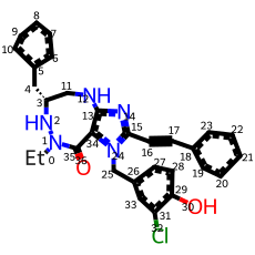 CCN1N[C@H](Cc2ccccc2)CNc2nc(C#Cc3ccccc3)n(Cc3ccc(O)c(Cl)c3)c2C1=O